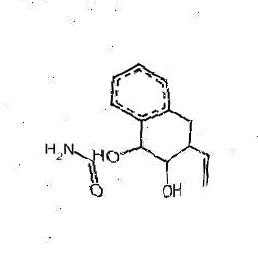 C=CC1Cc2ccccc2C(O)C1O.NC=O